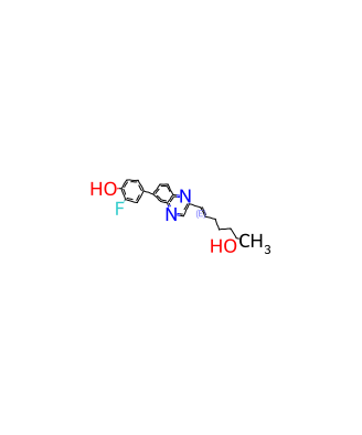 CC(O)CCC/C=C/c1cnc2cc(-c3ccc(O)c(F)c3)ccc2n1